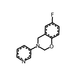 Fc1ccc2c(c1)CN(c1cccnc1)CO2